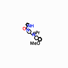 CCCN(CC1CCN(C(=O)c2ccc[nH]2)CC1)[C@H]1CCc2c(cccc2OC)C1